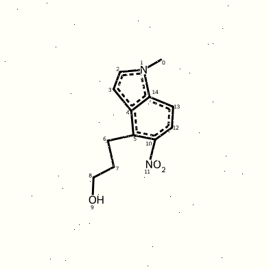 Cn1ccc2c(CCCO)c([N+](=O)[O-])ccc21